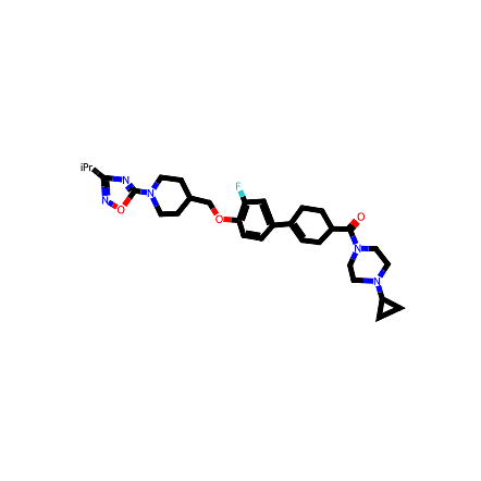 CC(C)c1noc(N2CCC(COc3ccc(C4=CCC(C(=O)N5CCN(C6CC6)CC5)CC4)cc3F)CC2)n1